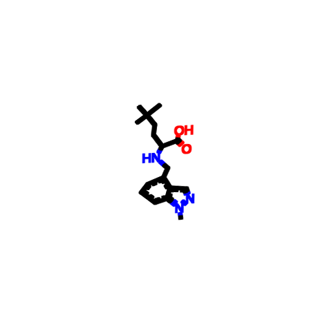 Cn1ncc2c(CNC(CCC(C)(C)C)C(=O)O)cccc21